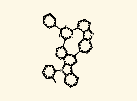 Cc1ccccc1-n1c2ccccc2c2cc(-c3ccc4sc5cccc(-c6nc(-c7ccccc7)nc(-c7ccccc7)n6)c5c4c3)ccc21